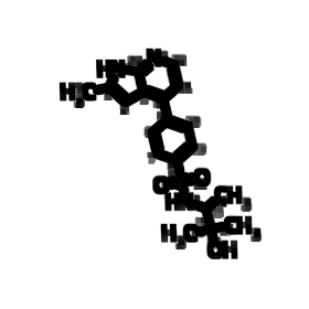 Cc1cc2c(-c3ccc(S(=O)(=O)NC(C)C(C)(C)O)cc3)ccnc2[nH]1